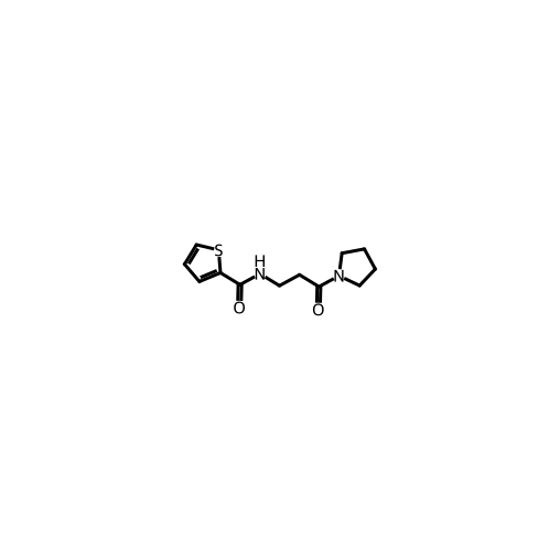 O=C(NCCC(=O)N1CCCC1)c1cccs1